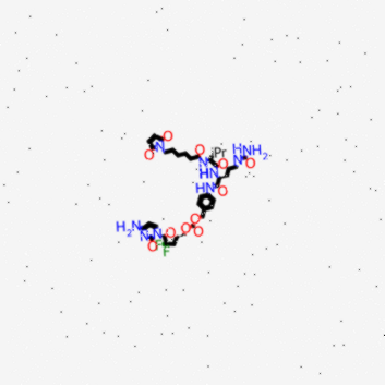 CC(C)C(NC(=O)CCCCCN1C(=O)C=CC1=O)C(=O)N[C@@H](CCCNC(N)=O)C(=O)Nc1ccc(COC(=O)OC[C@@H]2CC(F)(F)[C@H](n3ccc(N)nc3=O)O2)cc1